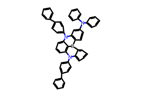 c1ccc(-c2ccc(N3c4ccccc4B4c5ccc(N(c6ccccc6)c6ccccc6)cc5N(c5ccc(-c6ccccc6)cc5)c5cccc3c54)cc2)cc1